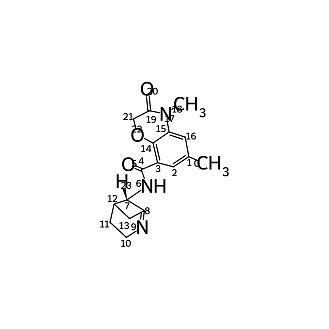 Cc1cc(C(=O)N[C@@H]2C3=NCCC2C3)c2c(c1)N(C)C(=O)CO2